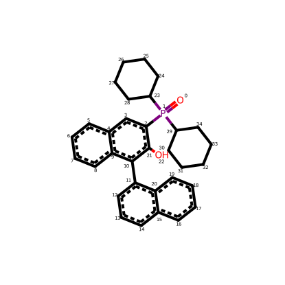 O=P(c1cc2ccccc2c(-c2cccc3ccccc23)c1O)(C1CCCCC1)C1CCCCC1